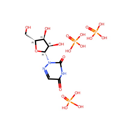 O=P(O)(O)O.O=P(O)(O)O.O=P(O)(O)O.O=c1cnn([C@@H]2O[C@H](CO)[C@@H](O)[C@H]2O)c(=O)[nH]1